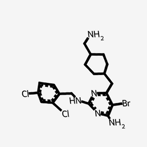 NCC1CCC(Cc2nc(NCc3ccc(Cl)cc3Cl)nc(N)c2Br)CC1